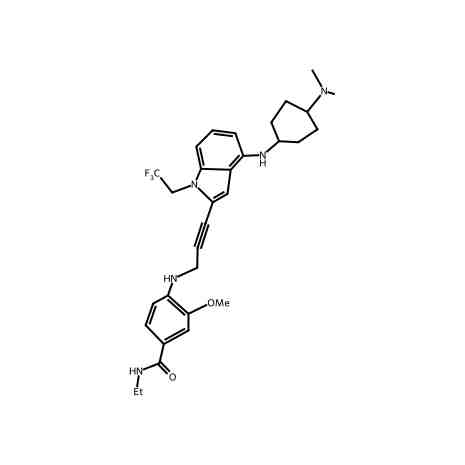 CCNC(=O)c1ccc(NCC#Cc2cc3c(NC4CCC(N(C)C)CC4)cccc3n2CC(F)(F)F)c(OC)c1